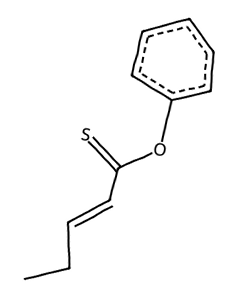 CCC=CC(=S)Oc1ccccc1